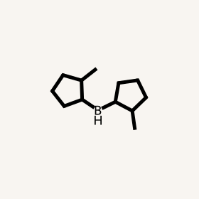 CC1CCCC1BC1CCCC1C